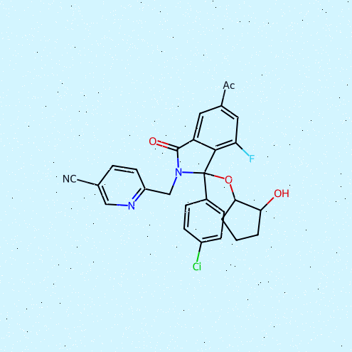 CC(=O)c1cc(F)c2c(c1)C(=O)N(Cc1ccc(C#N)cn1)C2(OC1CCCC1O)c1ccc(Cl)cc1